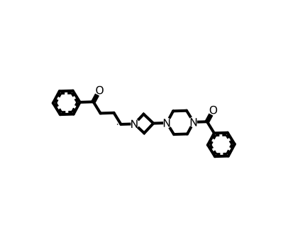 O=C(CC[CH]N1CC(N2CCN(C(=O)c3ccccc3)CC2)C1)c1ccccc1